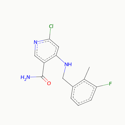 Cc1c(F)cccc1CNc1cc(Cl)ncc1C(N)=O